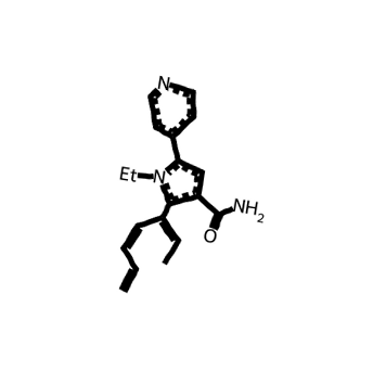 C=C/C=C\C(=C/C)c1c(C(N)=O)cc(-c2ccncc2)n1CC